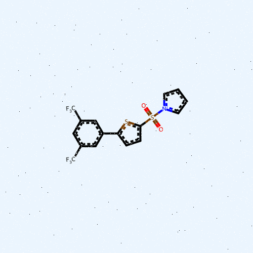 O=S(=O)(c1ccc(-c2cc(C(F)(F)F)cc(C(F)(F)F)c2)s1)n1cccc1